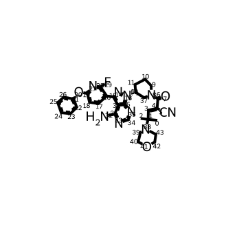 CC(C)(C=C(C#N)C(=O)N1CCC[C@@H](n2nc(-c3ccc(Oc4ccccc4)nc3F)c3c(N)ncnc32)C1)N1CCOCC1